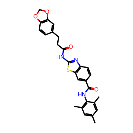 Cc1cc(C)c(NC(=O)c2ccc3nc(NC(=O)CCc4ccc5c(c4)OCO5)sc3c2)c(C)c1